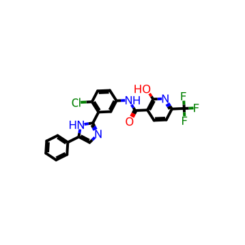 O=C(Nc1ccc(Cl)c(-c2ncc(-c3ccccc3)[nH]2)c1)c1ccc(C(F)(F)F)nc1O